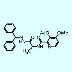 COc1ccnc(C(=O)N[C@@H](C)C(=O)NN=C(c2ccccc2)c2ccccc2)c1OC(C)=O